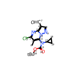 Cc1c(Cl)nc2c(C=O)cnn2c1N(C(=O)OC(C)(C)C)C1CC1